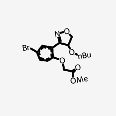 CCCCOC1CON=C1c1cc(Br)ccc1OCC(=O)OC